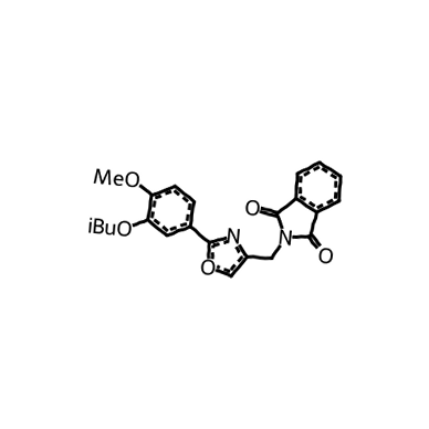 COc1ccc(-c2nc(CN3C(=O)c4ccccc4C3=O)co2)cc1OCC(C)C